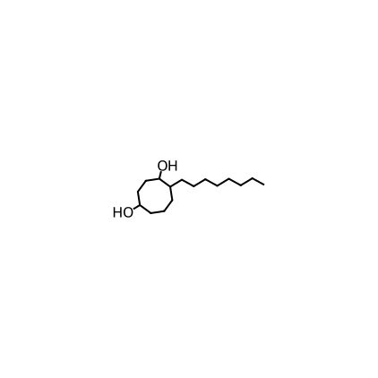 CCCCCCCCC1CCCC(O)CCC1O